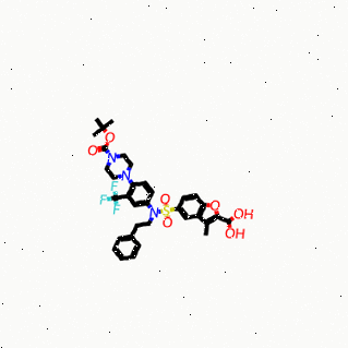 Cc1c(C(O)O)oc2ccc(S(=O)(=O)N(CCc3ccccc3)c3ccc(N4CCN(C(=O)OC(C)(C)C)CC4)c(C(F)(F)F)c3)cc12